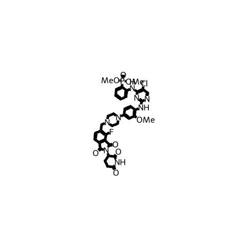 COc1cc(N2CCN(Cc3ccc4c(c3F)C(=O)N(C3CCC(=O)NC3=O)C4=O)CC2)ccc1Nc1ncc(Cl)c(Nc2ccccc2P(=O)(OC)OC)n1